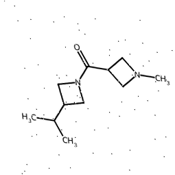 CC(C)C1CN(C(=O)C2CN(C)C2)C1